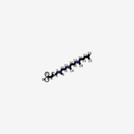 COC(=O)CSC/C=C(\C)CC/C=C(\C)CC/C=C(\C)CCC=C(C)C